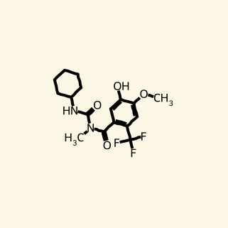 COc1cc(C(F)(F)F)c(C(=O)N(C)C(=O)NC2CCCCC2)cc1O